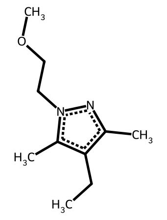 CCc1c(C)nn(CCOC)c1C